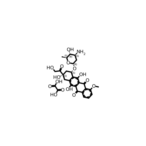 COc1cccc2c1C(=O)c1c(O)c3c(c(O)c1C2=O)C[C@@](O)(C(=O)CO)C[C@@H]3O[C@H]1C[C@H](N)[C@@H](O)[C@H](C)O1.O=C(O)C(=O)O